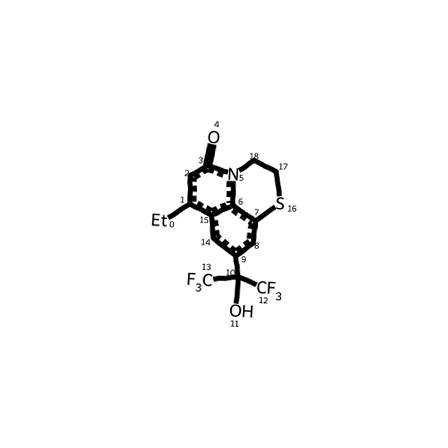 CCc1cc(=O)n2c3c(cc(C(O)(C(F)(F)F)C(F)(F)F)cc13)SCC2